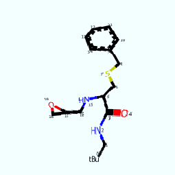 CC(C)(C)CNC(=O)C(CSCc1ccccc1)NCC1CO1